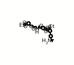 CCOc1ccc(-c2ccc(C3(N)CC3)cc2)cc1S(=O)(=O)N1CCC2(CC1)C[C@H](NCC(O)COc1cccc(S(=O)(=O)CC)c1)CO2